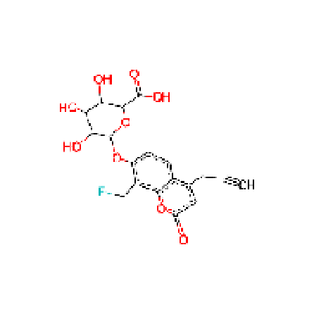 C#CCc1cc(=O)oc2c(CF)c(OC3OC(C(=O)O)C(O)C(O)C3O)ccc12